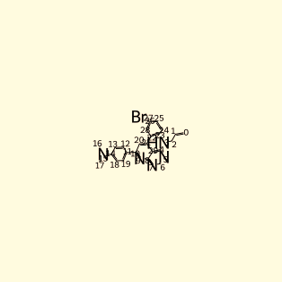 C=CCNc1ncnc2nc(-c3ccc(N(C)C)cc3)cc(-c3cccc(Br)c3)c12